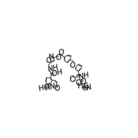 O=C(N[C@@H](c1ccccc1)c1cccc(OCc2ccc(C(=O)OCc3cc(CNC[C@H](O)c4ccc(O)c5[nH]c(=O)ccc45)on3)cc2)c1)O[C@H]1CN2CCC1CC2